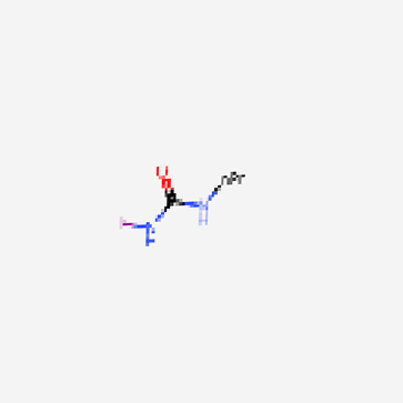 CCCNC(=O)NI